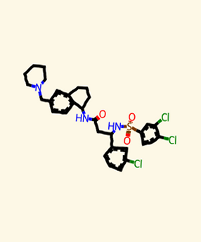 O=C(CC(NS(=O)(=O)c1ccc(Cl)c(Cl)c1)c1cccc(Cl)c1)NC1CCCc2cc(CN3CCCCC3)ccc21